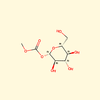 COC(=O)O[C@@H]1O[C@H](CO)[C@@H](O)[C@H](O)[C@H]1O